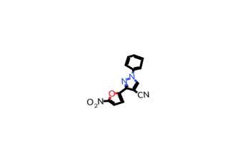 N#Cc1cn(-c2ccccc2)nc1-c1ccc([N+](=O)[O-])o1